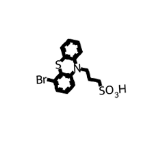 O=S(=O)(O)CCCN1c2ccccc2Sc2c(Br)cccc21